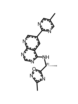 Cc1cnc(-c2cnc3ncnc(N[C@H](C)c4nc(C)no4)c3c2)nc1